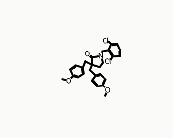 COc1ccc(CC2(Cc3ccc(OC)cc3)CCN(Cc3c(Cl)cccc3Cl)C2=O)cc1